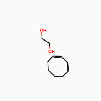 C1=CCCCCCC1.OCCO